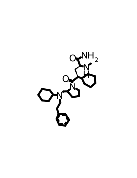 CN[C@@H](C[C@H](C(=O)N1CCCC1CN(CCc1ccccc1)C1CCCCC1)C1CCCCC1)C(N)=O